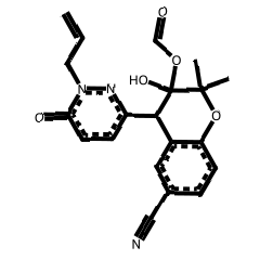 C=CCn1nc(C2c3cc(C#N)ccc3OC(C)(C)C2(O)OC=O)ccc1=O